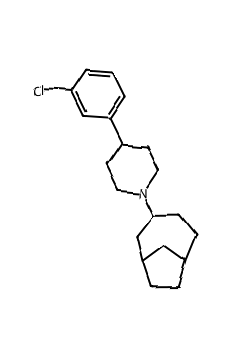 Clc1cccc(C2CCN(C3CCC4CCC(C4)C3)CC2)c1